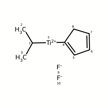 C[CH](C)[Ti+2][C]1=CC=CC1.[F-].[F-]